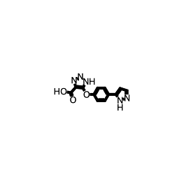 O=C(O)c1nn[nH]c1Oc1ccc(-c2ccn[nH]2)cc1